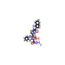 NC(=O)C(O)C(Cc1ccccc1)NC(=O)c1csc(NC(=O)c2ccc3ccccc3c2)n1